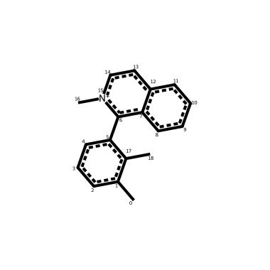 Cc1cccc(-c2c3ccccc3cc[n+]2C)c1C